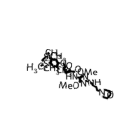 COc1nc(NCCCN2CCOCC2)nc(OC)c1NC(=O)c1ccc(Oc2cc3c(cc2C)[Si](C)(C)CC[Si]3(C)C)o1